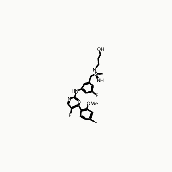 COc1cc(F)ccc1-c1nc(Nc2cc(F)cc(CS(C)(=N)=NCCCO)c2)ncc1F